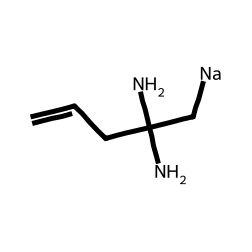 C=CCC(N)(N)[CH2][Na]